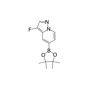 CC1(C)OB(c2ccn3ncc(F)c3c2)OC1(C)C